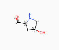 O=[C][C@@H]1C[C@H](O)CN1